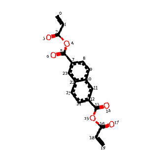 C=CC(=O)OC(=O)c1ccc2cc(C(=O)OC(=O)C=C)ccc2c1